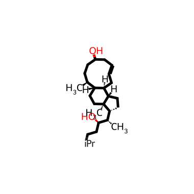 CC(C)CC[C@@H](O)[C@@H](C)[C@H]1CC[C@H]2[C@@H]3C/C=C/CC(O)CC[C@H](C)[C@H]3CC[C@]12C